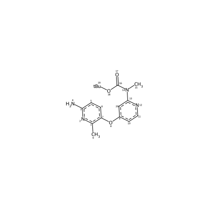 Cc1nc(N)ccc1Oc1ccnc(N(C)C(=O)OC(C)(C)C)c1